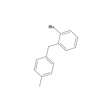 CCC(C)c1ccccc1Cc1ccc(C)cc1